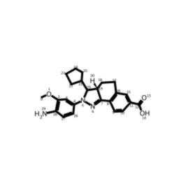 COc1cc(N2N=C3c4ccc(C(=O)O)cc4CC[C@H]3C2C2CCCC2)ccc1N